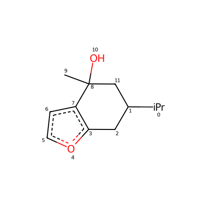 CC(C)C1Cc2occc2C(C)(O)C1